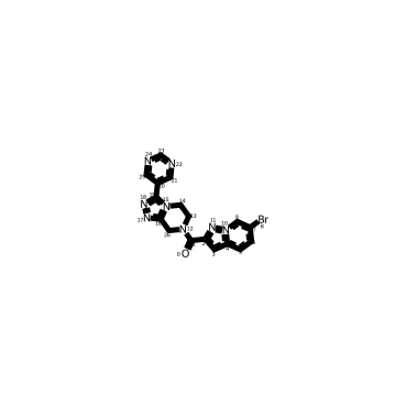 O=C(c1cc2ccc(Br)cn2n1)N1CCn2c(nnc2-c2cncnc2)C1